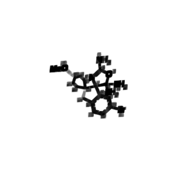 BC1(B)OC(N)=N[C@@]12c1cc(Br)ccc1C[C@]21CC[C@@H](OC)CC1